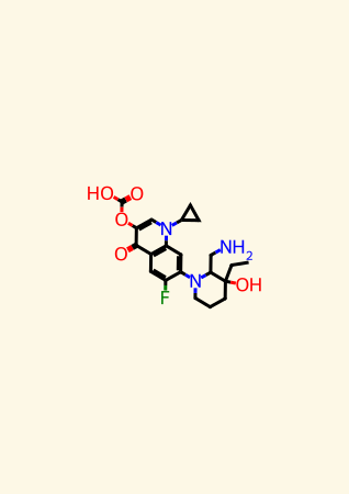 CCC1(O)CCCN(c2cc3c(cc2F)c(=O)c(OC(=O)O)cn3C2CC2)C1CN